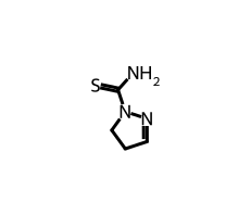 NC(=S)N1CCC=N1